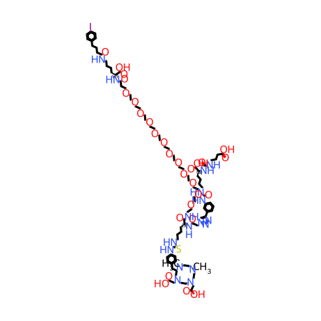 CN1CCN(CC(=O)O)CCN(CC(=O)O)CC(Cc2ccc(NC(=S)NCCCC[C@H](NC(=O)Cn3cc(-c4cccc(NC(=O)NCCCC[C@H](NC(=O)NCCCC(=O)O)C(=O)O)c4)nn3)C(=O)NCCOCCOCCOCCOCCOCCOCCOCCOCCOCCOCCOCCOCCC(=O)N[C@@H](CCCCNC(=O)CCCc3ccc(I)cc3)C(=O)O)cc2)N(C)CC1